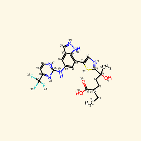 CC[C@H](CCC(C)(O)c1ncc(-c2cc(Nc3nccc(C(F)(F)F)n3)cc3cn[nH]c23)s1)C(=O)O